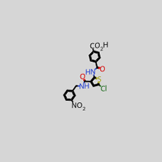 O=C(O)c1ccc(C(=O)Nc2sc(Cl)cc2C(=O)NCc2cccc([N+](=O)[O-])c2)cc1